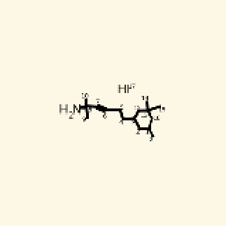 CC1CC(CCC#CC(C)(C)N)CC(C)(C)C1.I